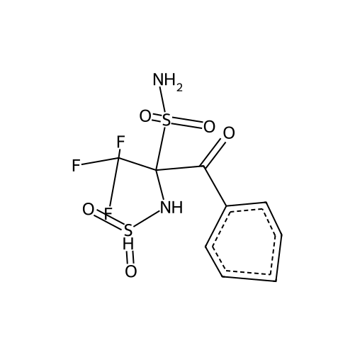 NS(=O)(=O)C(N[SH](=O)=O)(C(=O)c1ccccc1)C(F)(F)F